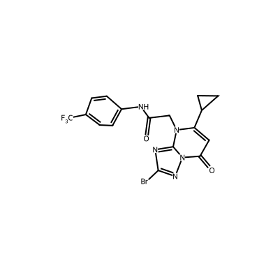 O=C(Cn1c(C2CC2)cc(=O)n2nc(Br)nc12)Nc1ccc(C(F)(F)F)cc1